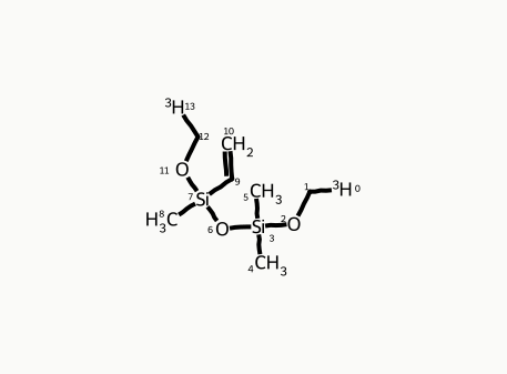 [3H]CO[Si](C)(C)O[Si](C)(C=C)OC[3H]